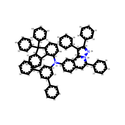 c1ccc(-c2cc(-c3ccccc3)cc(N(c3ccc4cc(-c5ccccc5)n5nc(-c6ccccc6)c(-c6ccccc6)c5c4c3)c3cccc4c3-c3ccccc3C4(c3ccccc3)c3ccccc3)c2)cc1